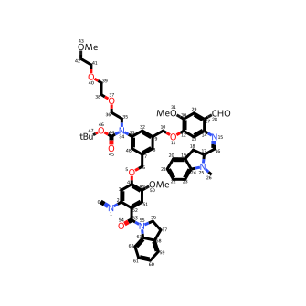 C=Nc1cc(OCc2cc(COc3cc(/N=C\C4Cc5ccccc5N4C)c(C=O)cc3OC)cc(N(CCOCCOCCOC)C(=O)OC(C)(C)C)c2)c(OC)cc1C(=O)N1CCc2ccccc21